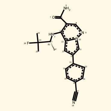 C[C@@H](Nc1c(C(N)=O)cnn2cc(-c3ccc(C#N)cc3)cc12)C(C)(C)F